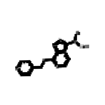 CC(C)N(C(=O)O)c1nnc2c(NCc3ccncc3)nccn12